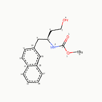 CC(C)(C)OC(=O)N[C@H](CCO)Cc1ccc2ccccc2c1